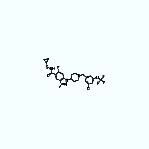 Cc1nn(C2CCN(Cc3cc(Cl)cc(OC(F)(F)F)c3)CC2)c2cc(F)c(C(=O)NSC3CC3)cc12